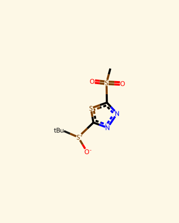 CC(C)(C)[S+]([O-])c1nnc(S(C)(=O)=O)s1